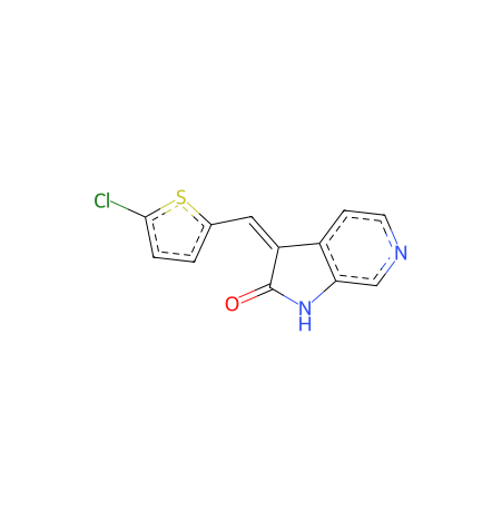 O=C1Nc2cnccc2C1=Cc1ccc(Cl)s1